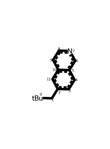 CC(C)(C)Cc1ccc2cnccc2c1